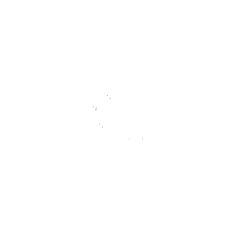 O=C(O)C1=[C][N]N=N1